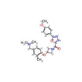 COc1ccc(-c2nnc(C(=O)N3CC(Oc4ccc(CN(C)C)cc4C)C3)o2)cc1